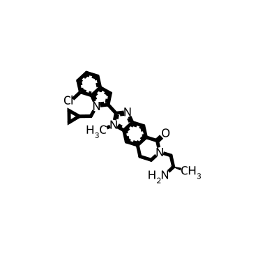 C[C@@H](N)CN1CCc2cc3c(cc2C1=O)nc(-c1cc2cccc(Cl)c2n1CC1CC1)n3C